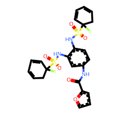 O=C(Nc1ccc(NS(=O)(=O)C2(F)C=CC=CC2)c(NS(=O)(=O)C2(F)C=CC=CC2)c1)c1ccco1